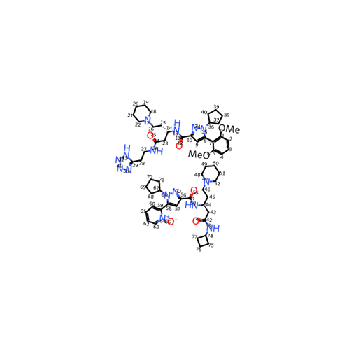 COc1cccc(OC)c1-c1cc(C(=O)N[C@@H](CCN2CCCCC2)CC(=O)NCCc2nnn[nH]2)nn1C1CCCC1.O=C(C[C@H](CCN1CCCCC1)NC(=O)c1cc(-c2cccc[n+]2[O-])n(C2CCCC2)n1)NC1CCC1